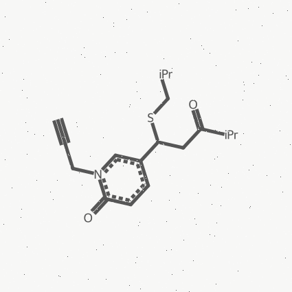 C#CCn1cc(C(CC(=O)C(C)C)SCC(C)C)ccc1=O